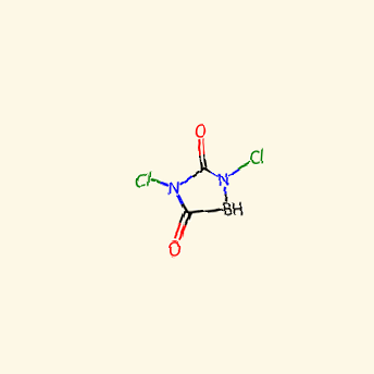 O=C1BN(Cl)C(=O)N1Cl